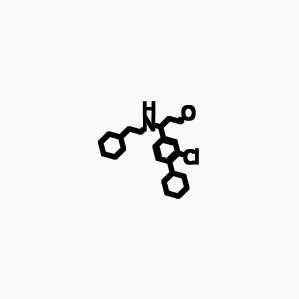 O=CCC(NCCC1CCCCC1)c1ccc(C2CCCCC2)c(Cl)c1